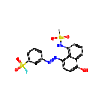 CS(=O)(=O)Nc1cccc2c(O)ccc(N=Nc3cccc(S(=O)(=O)F)c3)c12